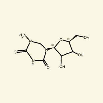 NN1CN([C@H]2O[C@@H](CO)C(O)C2O)C(=O)NC1=S